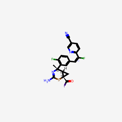 C[C@]1(c2cc(/C=C(/F)c3ccc(C#N)cn3)ccc2F)N=C(N)S[C@@]2(C(=O)I)C[C@H]21